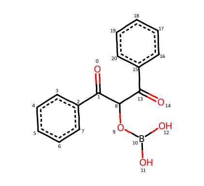 O=C(c1ccccc1)C(OB(O)O)C(=O)c1ccccc1